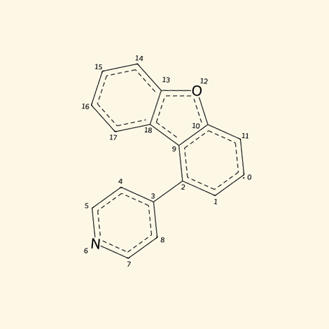 [c]1cc(-c2ccncc2)c2c(c1)oc1ccccc12